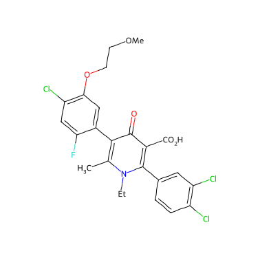 CCn1c(C)c(-c2cc(OCCOC)c(Cl)cc2F)c(=O)c(C(=O)O)c1-c1ccc(Cl)c(Cl)c1